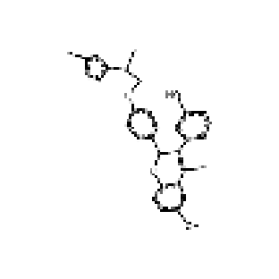 CC1=C(c2cccc(O)c2)C(c2ccc(OCC(C)n3cnc(C)c3)cc2)Oc2ccc(O)cc21